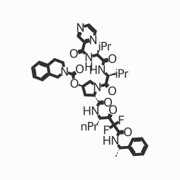 CCC[C@H](NC(=O)[C@@H]1C[C@@H](OC(=O)N2CCc3ccccc3C2)CN1C(=O)[C@@H](NC(=O)[C@@H](NC(=O)c1cnccn1)C(C)C)C(C)C)C(=O)C(F)(F)C(=O)N[C@@H](C)c1ccccc1